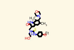 CCOc1ccc(NC(=S)N(CCO)Cc2cc3cc(C)c(CN4CCOCC4)c(C)c3[nH]c2=O)cc1